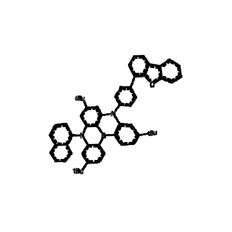 CC(C)(C)c1ccc2c(c1)N(c1ccc(-c3cccc4c3oc3ccccc34)cc1)c1cc(C(C)(C)C)cc3c1B2c1ccc(C(C)(C)C)cc1N3c1cccc2ccccc12